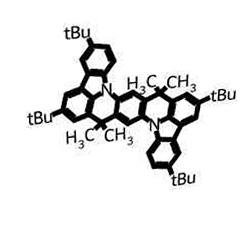 CC(C)(C)c1ccc2c(c1)c1cc(C(C)(C)C)cc3c1n2-c1cc2c(cc1C3(C)C)-n1c3ccc(C(C)(C)C)cc3c3cc(C(C)(C)C)cc(c31)C2(C)C